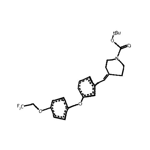 CC(C)(C)OC(=O)N1CCC(=Cc2cccc(Oc3ccc(OCC(F)(F)F)cc3)c2)CC1